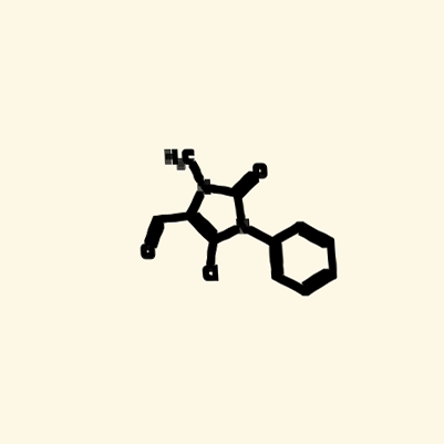 Cn1c(C=O)c(Cl)n(-c2ccccc2)c1=O